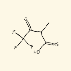 CC(C(=O)C(F)(F)F)C(O)=S